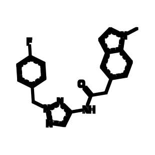 Cn1ccc2cc(CC(=O)Nc3cnn(Cc4ccc(F)cc4)n3)ccc21